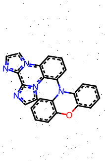 c1ccc2c(c1)Oc1ccccc1N2c1cccc2c1n1ccnc1c1nccn21